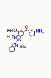 CCCCn1c(-c2nc3cc(C(=O)N4CCC[C@@H](N)C4)cc(OC)c3n2C)cc2ccccc21